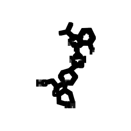 CC(C)c1nn(-c2noc(C3CC[N+](C(=O)CO)(C4CCNCC4)CC3)n2)c2c(F)cccc12